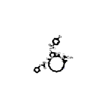 COC(=O)[C@@]12CC1/C=C\CCCCC[C@H](NC(=O)OC1CCCC1)C(=O)N1C[C@@H](OS(=O)(=O)c3ccc(Br)cc3)C[C@H]1C(=O)N2